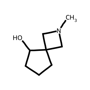 CN1CC2(CCCC2O)C1